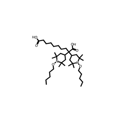 CCCCCON1C(C)(C)CC(C(CCCCCCCC(=O)O)(C(=O)O)C2CC(C)(C)N(OCCCCC)C(C)(C)C2)CC1(C)C